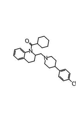 O=C(C1CCCCC1)N1c2ccccc2CCC1CN1CCC(c2ccc(Cl)cc2)CC1